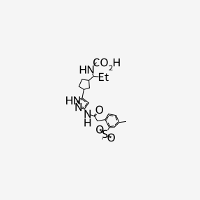 CCC(NC(=O)O)C1CCC(c2cc(NC(=O)Cc3ccc(C)cc3S(C)(=O)=O)n[nH]2)C1